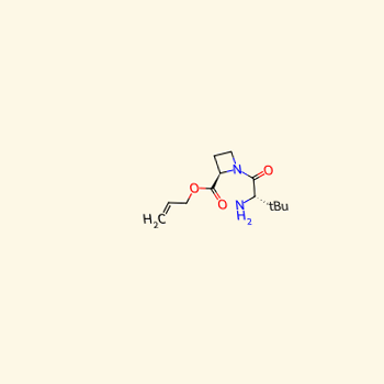 C=CCOC(=O)[C@H]1CCN1C(=O)[C@@H](N)C(C)(C)C